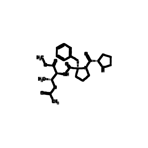 COC(=O)[C@@H](NC(=O)[C@]1(Cc2ccccc2)CCCN1C(=O)[C@@H]1CCCN1)[C@@H](C)OC(C)=O